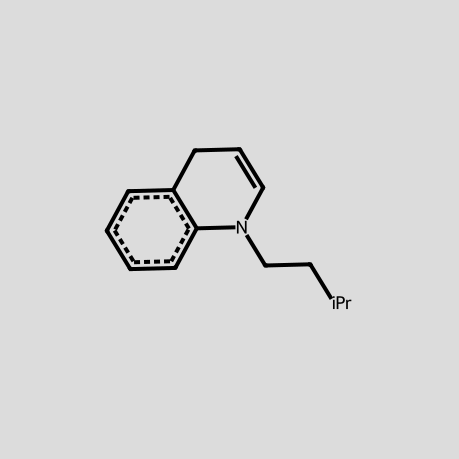 CC(C)CCN1C=CCc2ccccc21